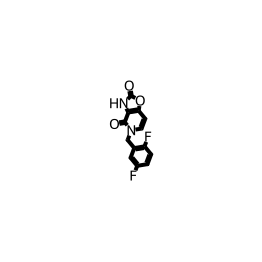 O=c1[nH]c2c(=O)n(Cc3cc(F)ccc3F)ccc2o1